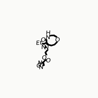 CCc1nn(CCCOC(=O)c2cnon2)c2c1C(=O)NCCCOCCC2